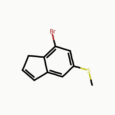 CSc1cc(Br)c2c(c1)C=CC2